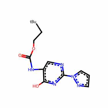 CC(C)(C)CCOC(=O)Nc1cnc(-n2cccn2)nc1O